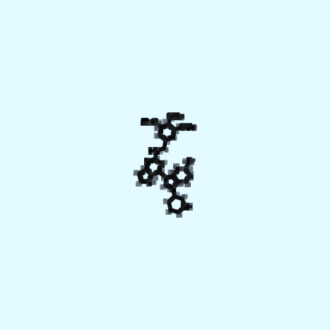 COc1cc(CNc2nc(-c3cn(C4CCCNC4)c4cnc(Br)cc34)c3sccc3n2)cc(OC)c1OC